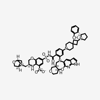 Cc1ccccc1[C@@H]1CCCN1C1CC2(CCN(c3ccc(C(=O)NS(=O)(=O)c4cc5c(c([N+](=O)[O-])c4)N[C@@H](CN4C[C@H]6C[C@@H]4CO6)CO5)c(N4C[C@@H]5COCC[C@@H]5Oc5nc6[nH]ccc6cc54)c3)CC2)C1